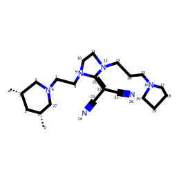 C[C@@H]1C[C@H](C)CN(CCN2CCN(CCCN3CCCC3)C2=C(C#N)C#N)C1